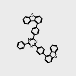 c1ccc(-c2nc(-c3ccc(-c4cccc5sc6ccccc6c45)cc3)nc(-c3ccc(-c4cccc5sc6ccccc6c45)cc3)n2)cc1